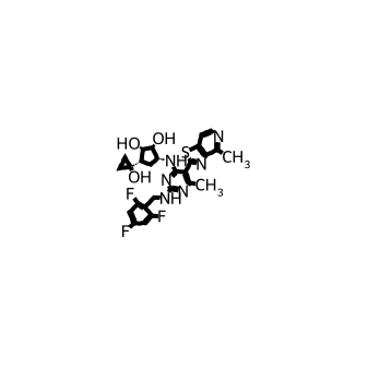 Cc1nc(NCc2c(F)cc(F)cc2F)nc(N[C@@H]2C[C@H](C3(O)CC3)[C@@H](O)[C@H]2O)c1-c1nc2c(C)nccc2s1